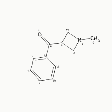 CN1CC(C(=O)c2cc[c]cc2)C1